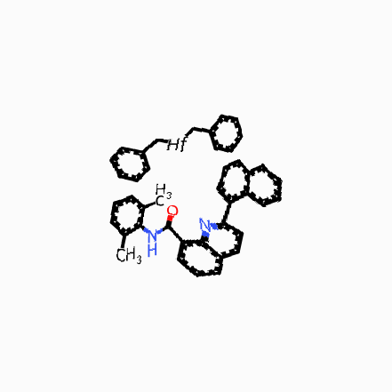 Cc1cccc(C)c1NC(=O)c1cccc2ccc(-c3cccc4ccccc34)nc12.c1ccc([CH2][Hf][CH2]c2ccccc2)cc1